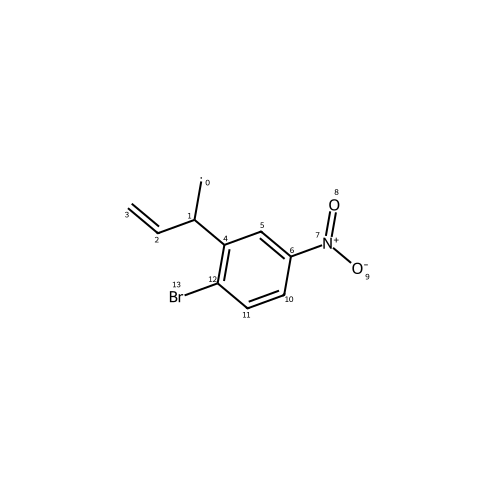 [CH2]C(C=C)c1cc([N+](=O)[O-])ccc1Br